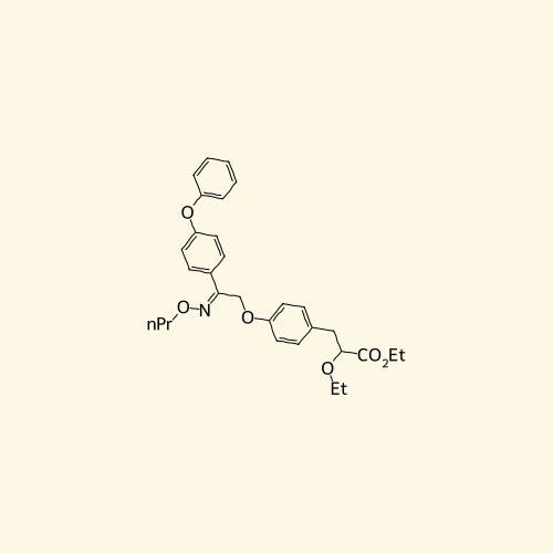 CCCON=C(COc1ccc(CC(OCC)C(=O)OCC)cc1)c1ccc(Oc2ccccc2)cc1